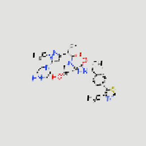 Cc1ncsc1-c1ccc(C(C)NC(=O)[C@@H]2C[C@@H](O)CN2C(=O)C(c2cc(N3CCNCC3)n(C)n2)C(C)C)cc1